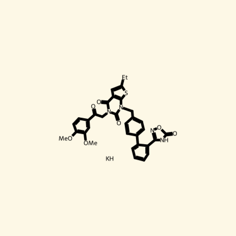 CCc1cc2c(=O)n(CC(=O)c3ccc(OC)c(OC)c3)c(=O)n(Cc3ccc(-c4ccccc4-c4noc(=O)[nH]4)cc3)c2s1.[KH]